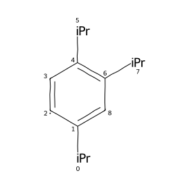 CC(C)c1[c]cc(C(C)C)c(C(C)C)c1